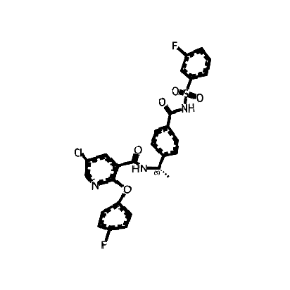 C[C@H](NC(=O)c1cc(Cl)cnc1Oc1ccc(F)cc1)c1ccc(C(=O)NS(=O)(=O)c2cccc(F)c2)cc1